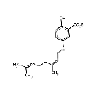 CCOC(=O)c1cc(OCC=C(C)CCC=C(C)C)ccc1O